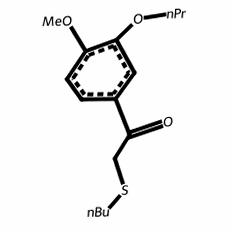 CCCCSCC(=O)c1ccc(OC)c(OCCC)c1